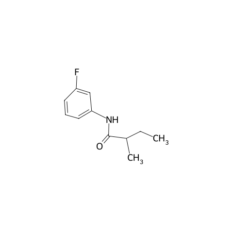 CCC(C)C(=O)Nc1cccc(F)c1